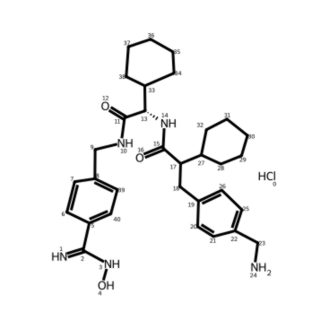 Cl.N=C(NO)c1ccc(CNC(=O)[C@@H](NC(=O)C(Cc2ccc(CN)cc2)C2CCCCC2)C2CCCCC2)cc1